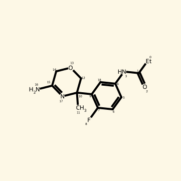 CCC(=O)Nc1ccc(F)c(C2(C)COCC(N)=N2)c1